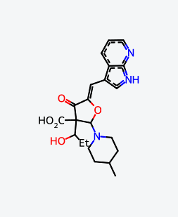 CCC(O)C1(C(=O)O)C(=O)/C(=C/c2c[nH]c3ncccc23)OC1N1CCC(C)CC1